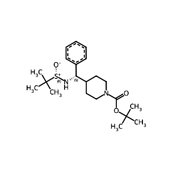 CC(C)(C)OC(=O)N1CCC([C@H](N[S@@+]([O-])C(C)(C)C)c2ccccc2)CC1